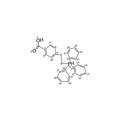 O=C(O)c1ccc(CC[PH](c2ccccc2)(c2ccccc2)c2ccccc2)cc1